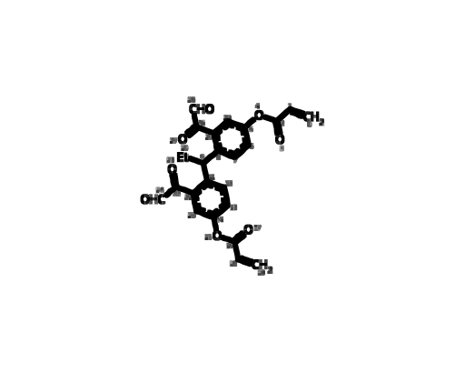 C=CC(=O)Oc1ccc(C(CC)c2ccc(OC(=O)C=C)cc2C(=O)C=O)c(C(=O)C=O)c1